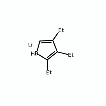 CCC1=CBC(CC)=C1CC.[Li]